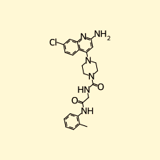 Cc1ccccc1NC(=O)CNC(=O)N1CCN(c2cc(N)nc3cc(Cl)ccc23)CC1